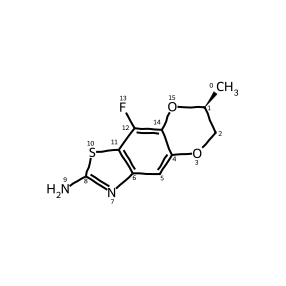 C[C@H]1COc2cc3nc(N)sc3c(F)c2O1